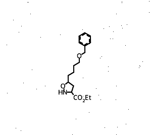 CCOC(=O)C1CC(CCCCOCc2ccccc2)ON1